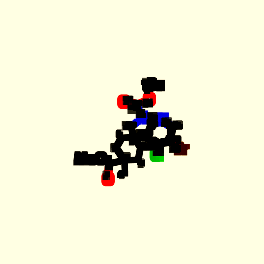 COC(=O)C1(C)CCC2(CC1)CN(C(=O)OC(C)(C)C)c1ncc(Br)c(Cl)c12